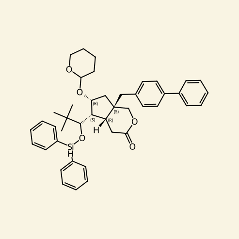 CC(C)(C)C(O[SiH](c1ccccc1)c1ccccc1)[C@H]1[C@H]2CC(=O)OC[C@@]2(Cc2ccc(-c3ccccc3)cc2)C[C@H]1OC1CCCCO1